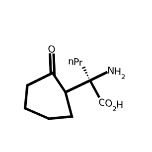 CCC[C@](N)(C(=O)O)C1CCCCC1=O